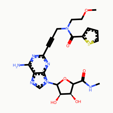 CNC(=O)C1OC(n2cnc3c(N)nc(C#CCN(CCOC)C(=O)c4cccs4)nc32)[C@H](O)[C@@H]1O